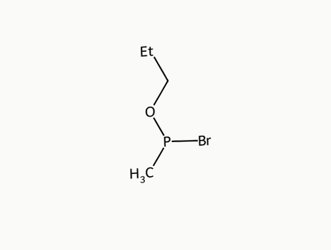 CCCOP(C)Br